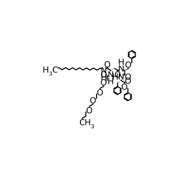 CCCCCCCCCCCCCCNC(=O)[C@H](CC(=O)N[C@@H](COCc1ccccc1)C(=O)N[C@@H](Cc1ccccc1)C(=O)OCc1ccccc1)NC(=O)COCCOCCOCCOCCCC